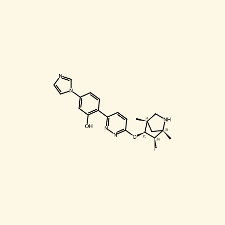 C[C@@]12CN[C@@](C)(C1)[C@@H](F)[C@H]2Oc1ccc(-c2ccc(-n3ccnc3)cc2O)nn1